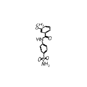 COc1cccc(C(=O)Nc2ccc(S(N)(=O)=O)cc2)c1